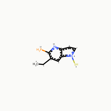 CCc1cc2c(ccn2S)nc1P